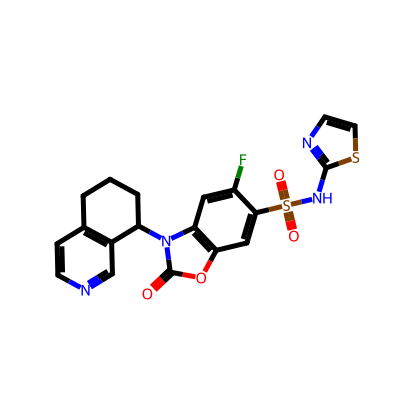 O=c1oc2cc(S(=O)(=O)Nc3nccs3)c(F)cc2n1C1CCCc2ccncc21